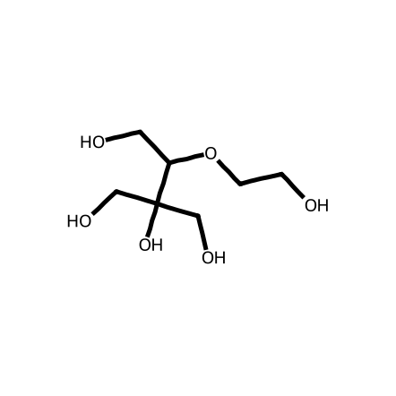 OCCOC(CO)C(O)(CO)CO